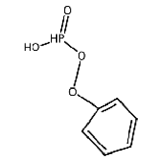 O=[PH](O)OOc1ccccc1